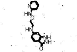 O=c1[nH][nH]c2cc(NCCONc3ccccn3)ccc12